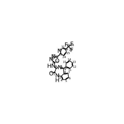 O=C1Nc2ccccc2C(c2ccccc2)=NC1Nc1nnc(-c2ccc(C(F)(F)F)cn2)o1